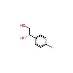 OC[C@@H](O)c1ccc(F)cc1